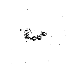 CC(C)(C)OC(=O)NS(=O)(=O)NCCC1CCN(c2ccnc(Nc3ccncc3)n2)CC1